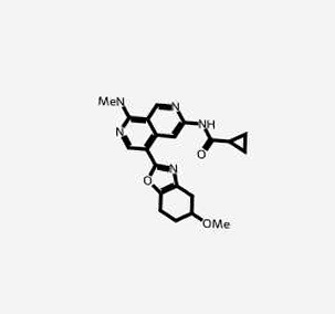 CNc1ncc(-c2nc3c(o2)CCC(OC)C3)c2cc(NC(=O)C3CC3)ncc12